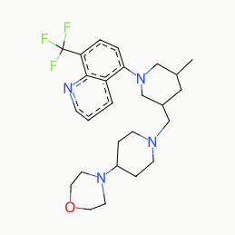 CC1CC(CN2CCC(N3CCOCC3)CC2)CN(c2ccc(C(F)(F)F)c3ncccc23)C1